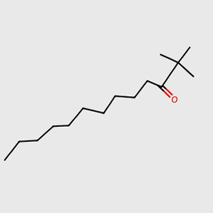 CCCCCCCCCCC(=O)C(C)(C)C